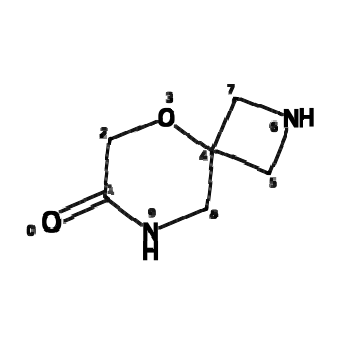 O=C1COC2(CNC2)CN1